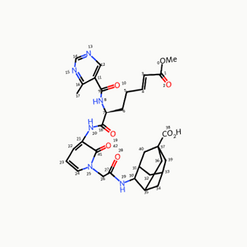 COC(=O)/C=C/CC[C@H](NC(=O)c1cncnc1C)C(=O)Nc1cccn(CC(=O)NC2C3CC4CC2CC(C(=O)O)(C4)C3)c1=O